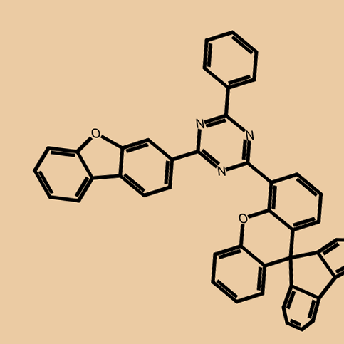 c1ccc(-c2nc(-c3ccc4c(c3)oc3ccccc34)nc(-c3cccc4c3Oc3ccccc3C43c4ccccc4-c4ccccc43)n2)cc1